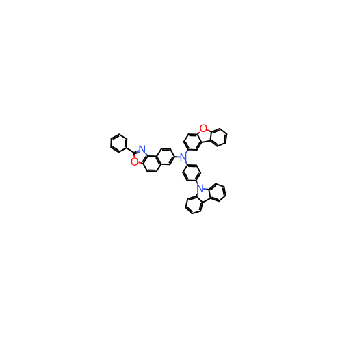 c1ccc(-c2nc3c(ccc4cc(N(c5ccc(-n6c7ccccc7c7ccccc76)cc5)c5ccc6oc7ccccc7c6c5)ccc43)o2)cc1